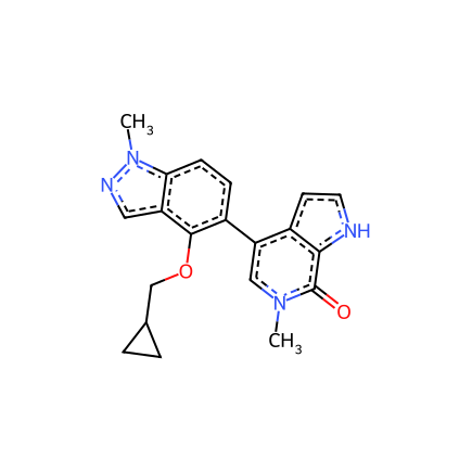 Cn1cc(-c2ccc3c(cnn3C)c2OCC2CC2)c2cc[nH]c2c1=O